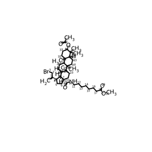 C=C(CBr)[C@@H]1CC[C@]2(C(=O)NCCCCCCCC(=O)OC)CC[C@]3(C)[C@H](CCC4[C@@]5(C)CC[C@H](OC(C)=O)C(C)(C)[C@@H]5CC[C@]43C)[C@@H]12